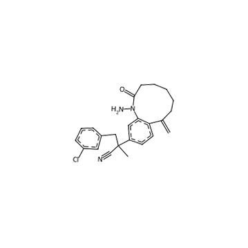 C=C1CCCCCC(=O)N(N)c2cc(C(C)(C#N)Cc3cccc(Cl)c3)ccc21